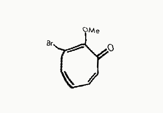 COc1c(Br)ccccc1=O